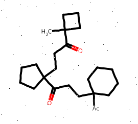 CC(=O)C1(CCC(=O)C2(CCC(=O)C3(C)CCC3)CCCC2)CCCCC1